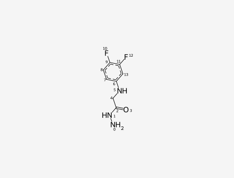 NNC(=O)CNc1ccc(F)c(F)c1